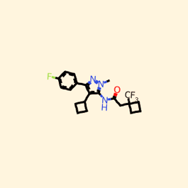 Cn1nc(-c2ccc(F)cc2)c(C2CCC2)c1NC(=O)CC1(C(F)(F)F)CCC1